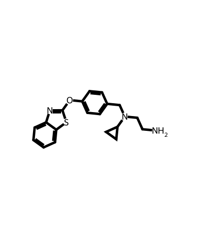 NCCN(Cc1ccc(Oc2nc3ccccc3s2)cc1)C1CC1